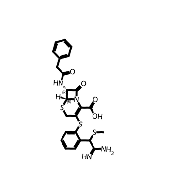 CSC(C(=N)N)c1ccccc1SC1=C(C(=O)O)N2C(=O)[C@@H](NC(=O)Cc3ccccc3)[C@H]2SC1